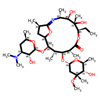 CC[C@H]1OC(=O)[C@H](C)[C@@H](O[C@H]2C[C@@](C)(OC)[C@@H](O)[C@H](C)O2)[C@H](C)[C@@H](O[C@@H]2O[C@H](C)C[C@H](N(C)C)[C@H]2O)[C@@]2(C)C[C@@H](C)C(=N[C@H](C)[C@@H](O)[C@]1(C)O)O2